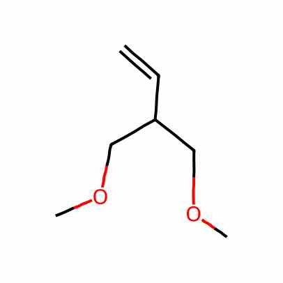 C=CC(COC)COC